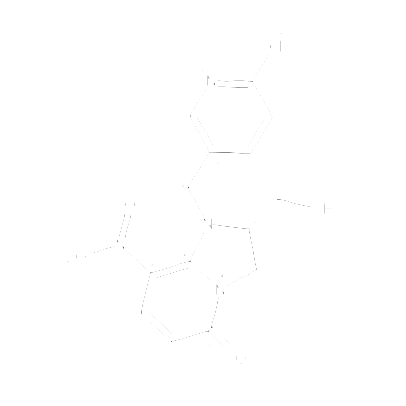 CCC1Cn2c(c([N+](=O)[O-])ccc2=O)N1Cc1ccc(Cl)nc1